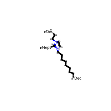 CCCCCCCCCCCCCCCCCC[n+]1ccn(CCCCCCCCCCCC)c1CCCCCCC